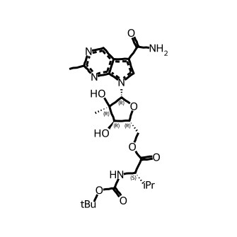 Cc1ncc2c(C(N)=O)cn([C@@H]3O[C@H](COC(=O)[C@@H](NC(=O)OC(C)(C)C)C(C)C)[C@@H](O)[C@@]3(C)O)c2n1